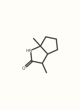 CC1C(=O)NC2(C)CCCC12